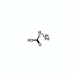 CC(=O)O.[LiH].[Pd]